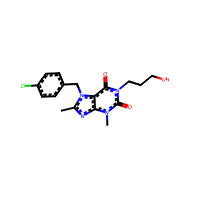 Cc1nc2c(c(=O)n(CCCO)c(=O)n2C)n1Cc1ccc(Cl)cc1